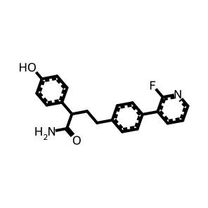 NC(=O)C(CCc1ccc(-c2cccnc2F)cc1)c1ccc(O)cc1